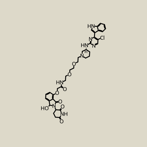 O=C(COc1cccc2c1C(=O)N(C1CCC(=O)NC1=O)C2O)NCCOCCOCCN1CCC[C@@H](Nc2ncc(Cl)c(-c3c[nH]c4ccccc34)n2)C1